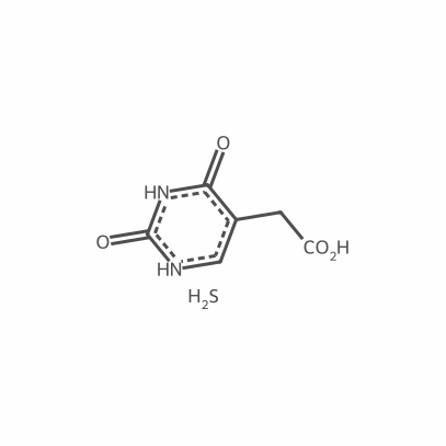 O=C(O)Cc1c[nH]c(=O)[nH]c1=O.S